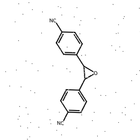 N#Cc1ccc(C2OC2c2ccc(C#N)cc2)cc1